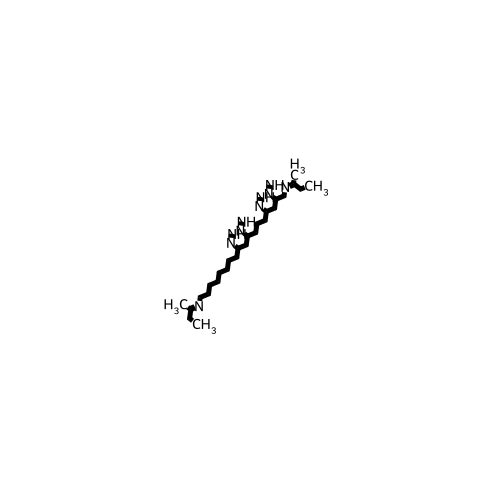 CCC(C)=NCCCCCCCCC(CC(CCCC(CC(CN=C(C)CC)N=N)N=N)N=N)N=N